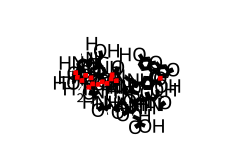 CC(=O)N[C@@H](C(=O)N[C@H](Cc1c[nH]cn1)C(=O)N[C@H](CCC(=O)O)C(=O)N[C@H](C)C(=O)N[C@H](C)C(=O)N[C@H](C)C(=O)N[C@H](CSC1CC(=O)N(CCNC(=O)c2ccc(C(=O)O)c(-c3c4ccc(=O)cc-4oc4cc(O)ccc34)c2)C1=O)C(=O)N[C@H](C)C(=O)N[C@H](C)C(=O)N[C@H](C)C(=O)N[C@@H](C(=O)N[C@H](Cc1c[nH]cn1)C(=O)N[C@H](CCC(=O)O)C(N)=O)[C@H](C)O)[C@H](C)O